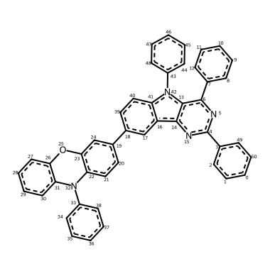 c1ccc(-c2nc(-c3ccccc3)c3c(n2)c2cc(-c4ccc5c(c4)Oc4ccccc4N5c4ccccc4)ccc2n3-c2ccccc2)cc1